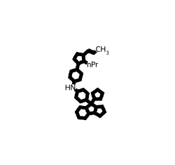 CC=CC1CCC(C2CCC(NC3CCC(C4(C5CCCC5)C5CCCCC5C5CCCC54)CC3)CC2)C1CCC